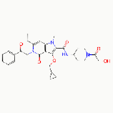 CCc1cc2c(c(OCC3CC3)c(C(=O)NC3CCN(C(=O)CO)CC3)n2C)c(=O)n1CC(=O)c1ccccc1